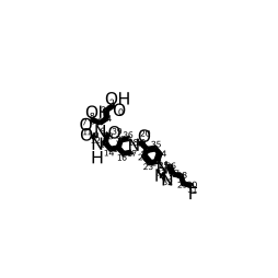 O=C(O)CCC(C(=O)O)N1C(=O)NC(CC2CCN(C(=O)c3ccc(-n4cc(CCCF)nn4)cc3)CC2)C1=O